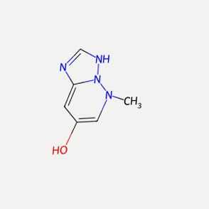 CN1C=C(O)C=C2N=CNN21